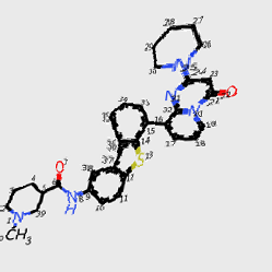 CN1CCCC(C(=O)Nc2ccc3sc4c(-c5cccn6c(=O)cc(N7CCCCC7)nc56)cccc4c3c2)C1